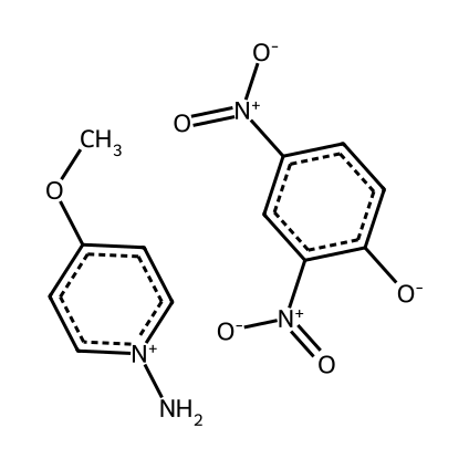 COc1cc[n+](N)cc1.O=[N+]([O-])c1ccc([O-])c([N+](=O)[O-])c1